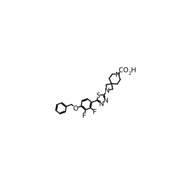 O=C(O)N1CCC2(CC1)CN(c1nnc(-c3ccc(OCc4ccccc4)c(F)c3F)s1)C2